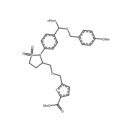 CCCCCC(OCc1ccc(OC)cc1)c1ccc(N2C(COCc3ccc(C(=O)OC)s3)CCS2(=O)=O)cc1